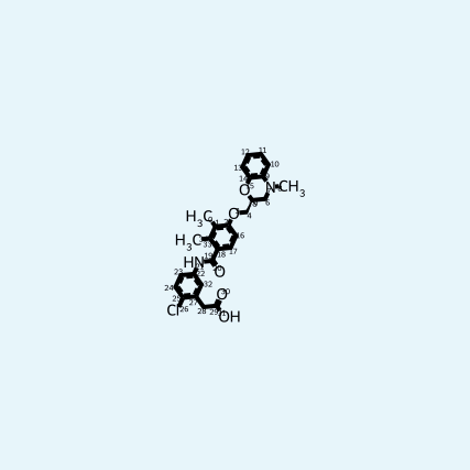 Cc1c(OC[C@@H]2CN(C)c3ccccc3O2)ccc(C(=O)Nc2ccc(Cl)c(CC(=O)O)c2)c1C